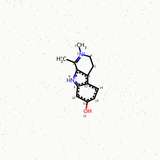 CC1=[N+](C)CCc2c1[nH]c1cc(O)ccc21